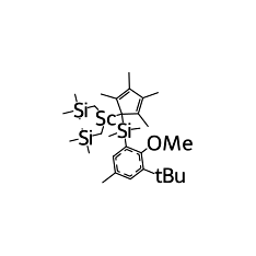 COc1c(C(C)(C)C)cc(C)cc1[Si](C)(C)[C]1([Sc]([CH2][Si](C)(C)C)[CH2][Si](C)(C)C)C(C)=C(C)C(C)=C1C